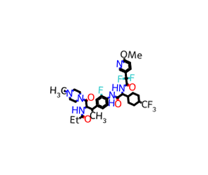 CCC(=O)NC(C(=O)N1CCN(C)CC1)C(C)c1ccc(NC(=O)C(NC(=O)C(F)(F)c2ccc(OC)nc2)C2CCC(C(F)(F)F)CC2)c(F)c1